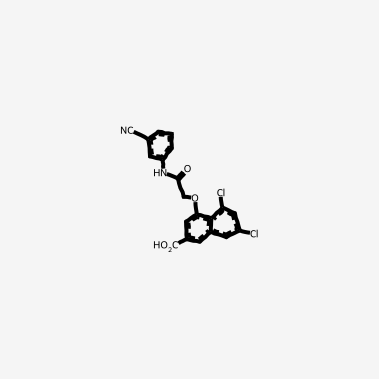 N#Cc1cccc(NC(=O)COc2cc(C(=O)O)cc3cc(Cl)cc(Cl)c23)c1